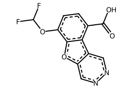 O=C(O)c1ccc(OC(F)F)c2oc3cnncc3c12